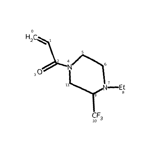 C=CC(=O)N1CCN(CC)C(C(F)(F)F)C1